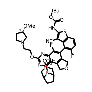 CO[C@H]1CCN(CCOc2nc(N3C4CCC3CN(C(=O)O)C4)c3c4c(c(-c5c(F)ccc6sc(NC(=O)OC(C)(C)C)c(C#N)c56)c(F)c3n2)COC4)C1